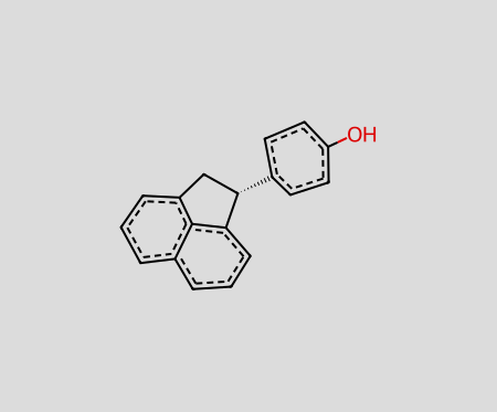 Oc1ccc([C@H]2Cc3cccc4cccc2c34)cc1